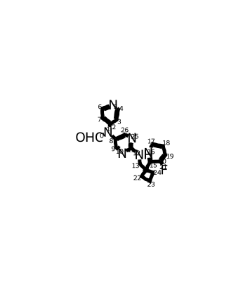 O=CN(c1ccncc1)c1cnc(NCC2(c3ncccc3F)CCC2)nc1